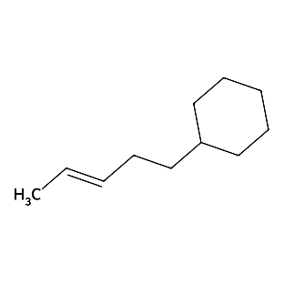 C/C=C/CCC1CCCCC1